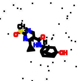 C[S+]([O-])c1ncc(C(=O)N[C@H]2C3CC4CC2C[C@@](O)(C4)C3)c(C2CC2)n1